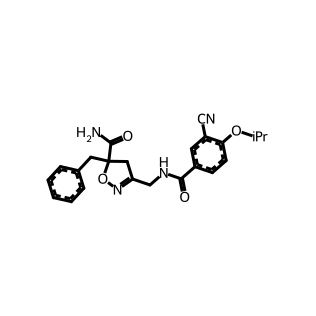 CC(C)Oc1ccc(C(=O)NCC2=NOC(Cc3ccccc3)(C(N)=O)C2)cc1C#N